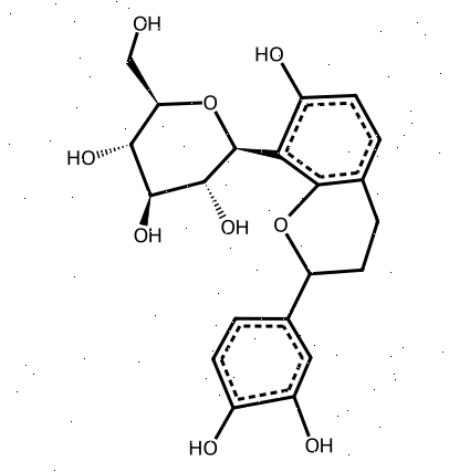 OC[C@H]1O[C@@H](c2c(O)ccc3c2OC(c2ccc(O)c(O)c2)CC3)[C@H](O)[C@@H](O)[C@@H]1O